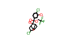 COc1cc(C2(OCC(F)(F)F)OOC23C2CC4CC3CC(Cl)(C4)C2)ccc1Cl